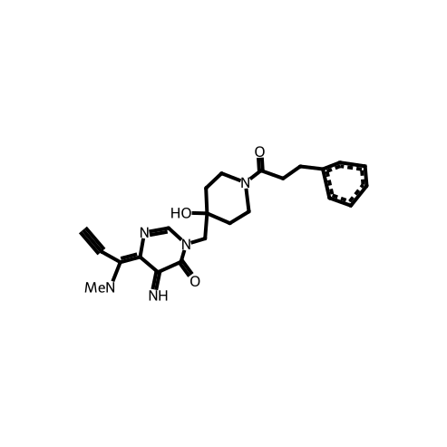 C#C/C(NC)=C1\N=CN(CC2(O)CCN(C(=O)CCc3ccccc3)CC2)C(=O)C1=N